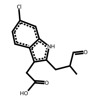 CC(C=O)Cc1[nH]c2cc(Cl)ccc2c1CC(=O)O